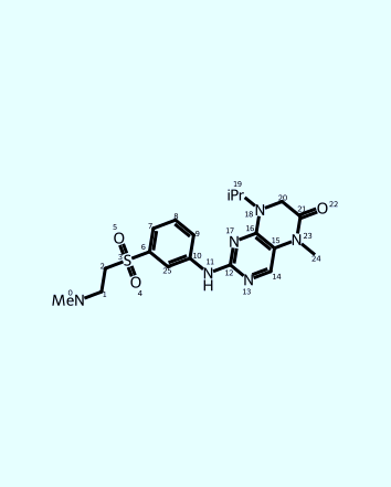 CNCCS(=O)(=O)c1cccc(Nc2ncc3c(n2)N(C(C)C)CC(=O)N3C)c1